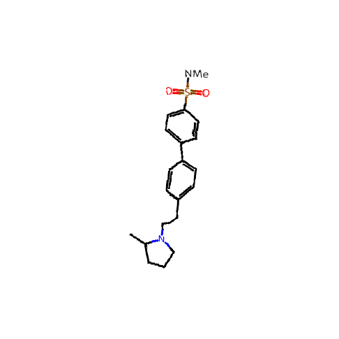 CNS(=O)(=O)c1ccc(-c2ccc(CCN3CCCC3C)cc2)cc1